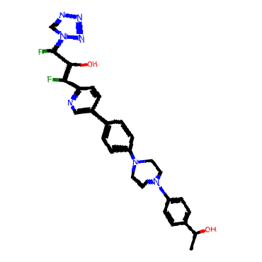 CC(O)c1ccc(N2CCN(c3ccc(-c4ccc(C(F)C(O)C(F)n5cnnn5)nc4)cc3)CC2)cc1